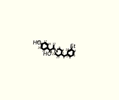 CCc1cccc(CC2CCN(C(C)C(O)c3ccc(O)cc3)CC2)c1